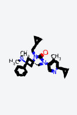 Cc1cc(C2CC2)ncc1N1C[C@]2(C[C@](c3ccccc3)(N(C)C)C2)N(CC2CC2)C1=O